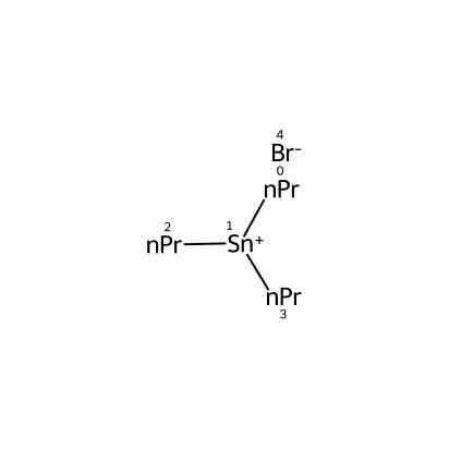 CC[CH2][Sn+]([CH2]CC)[CH2]CC.[Br-]